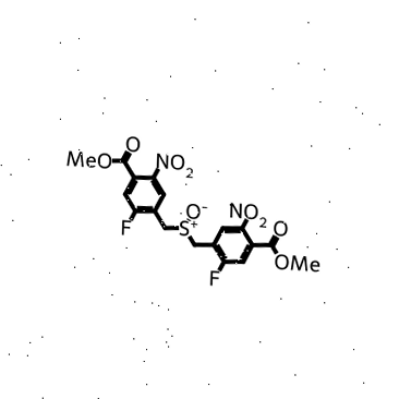 COC(=O)c1cc(F)c(C[S+]([O-])Cc2cc([N+](=O)[O-])c(C(=O)OC)cc2F)cc1[N+](=O)[O-]